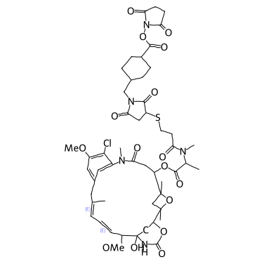 COc1cc2cc(c1Cl)N(C)C(=O)CC(OC(=O)C(C)N(C)C(=O)CCSC1CC(=O)N(CC3CCC(C(=O)ON4C(=O)CCC4=O)CC3)C1=O)C1(C)CC(C)(O1)C1CC(O)(NC(=O)O1)C(OC)/C=C/C=C(\C)C2